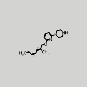 C=C/C=C\C=C(/C)COc1cccc(N2CCNCC2)n1